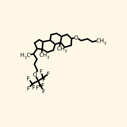 CCCCOC1CCC2(C)C(CCC3C2CCC2(C)C(C(C)CCCOC(C(F)(F)F)(C(F)(F)F)C(F)(F)F)CCC32)C1